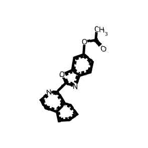 CC(=O)Oc1ccc2nc(-c3nccc4ccccc34)oc2c1